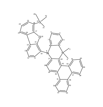 CC1(C)c2ccccc2N(c2cccc3c2oc2c(S(C)(C)C)cccc23)c2ccc3c4ccccc4c4ccccc4c3c21